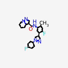 Cc1cc(F)c(-c2cnn(-c3ccc(F)cc3)c2)cc1NC(=O)c1cnn2ccccc12